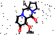 CCCCOc1c2n(ccc1=O)C[C@H]1CCCN1C2=O